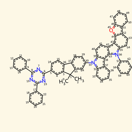 CC1(C)c2cc(-c3nc(-c4ccccc4)nc(-c4ccccc4)n3)ccc2-c2ccc(-n3c4ccccc4c4c3ccc3c5c6oc7ccccc7c6ccc5n(-c5ccccc5)c34)cc21